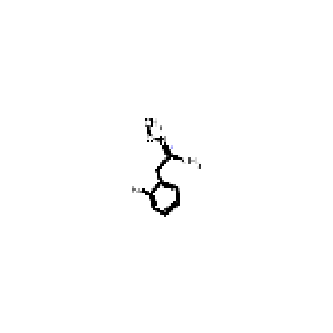 CO/N=C(/C)Cc1ccccc1Br